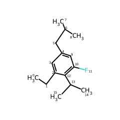 CCc1cc(CC(C)C)cc(F)c1C(C)C